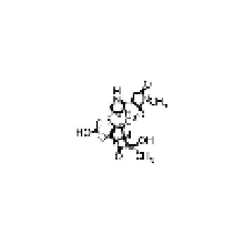 C[C@@H](O)[C@H]1C(=O)N2C(OC(=O)O)=C(S[C@@H]3CN[C@H](C4CC(=O)N(C)C4=O)C3)[C@H](C)[C@H]12